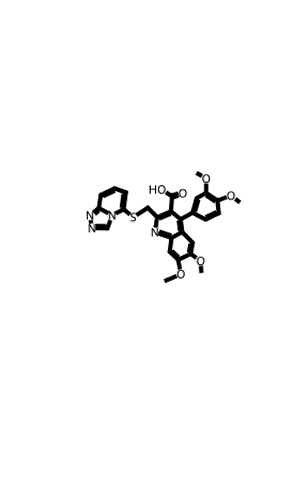 COc1ccc(-c2c(C(=O)O)c(CSc3cccc4nncn34)nc3cc(OC)c(OC)cc23)cc1OC